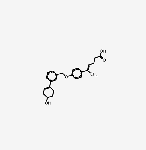 CC(=CCCC(=O)O)c1ccc(OCc2cccc(C3=CCC(O)CC3)c2)cc1